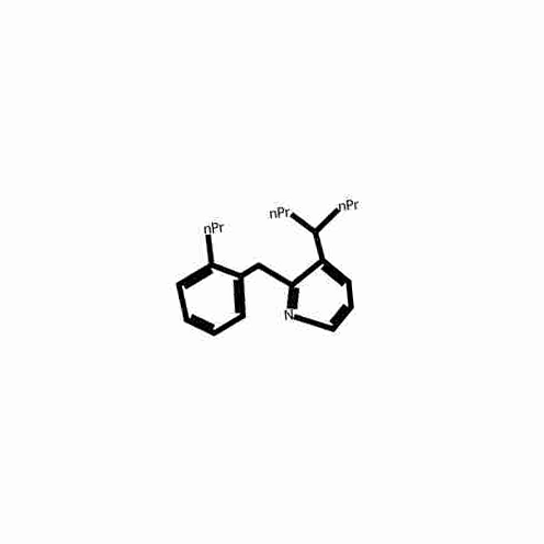 CCCc1ccccc1Cc1ncccc1C(CCC)CCC